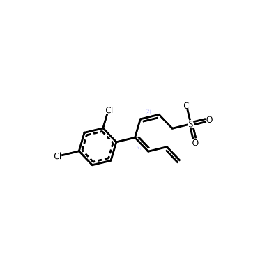 C=C/C=C(\C=C/CS(=O)(=O)Cl)c1ccc(Cl)cc1Cl